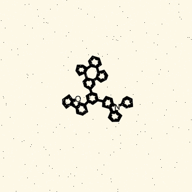 c1ccc(-n2c3ccccc3c3cc(-c4cc(-c5ccc6c(c5)-c5ccccc5-c5ccccc5-c5ccccc5-6)cc(-c5cccc6c5oc5ccccc56)c4)ccc32)cc1